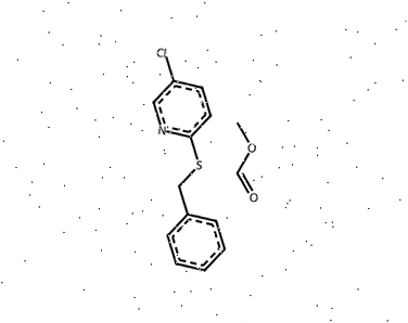 COC=O.Clc1ccc(SCc2ccccc2)nc1